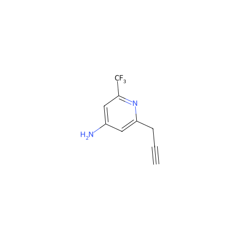 C#CCc1cc(N)cc(C(F)(F)F)n1